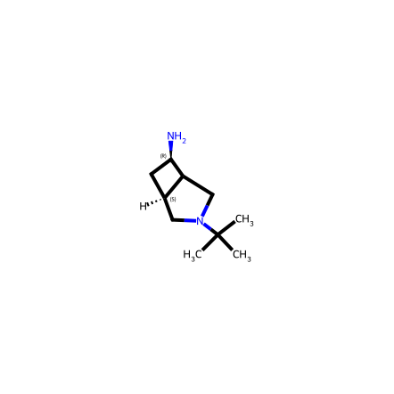 CC(C)(C)N1CC2[C@H](C[C@H]2N)C1